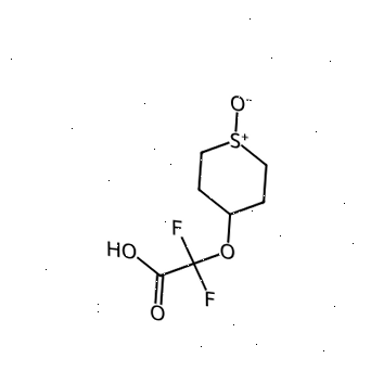 O=C(O)C(F)(F)OC1CC[S+]([O-])CC1